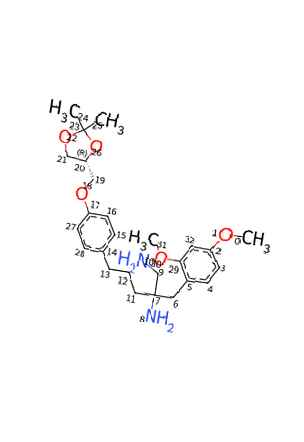 COc1ccc(CC(N)(CN)CCCc2ccc(OC[C@@H]3COC(C)(C)O3)cc2)c(OC)c1